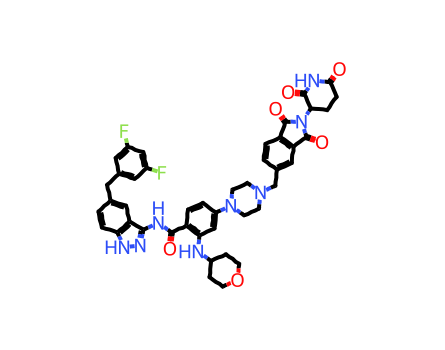 O=C1CCC(N2C(=O)c3ccc(CN4CCN(c5ccc(C(=O)Nc6n[nH]c7ccc(Cc8cc(F)cc(F)c8)cc67)c(NC6CCOCC6)c5)CC4)cc3C2=O)C(=O)N1